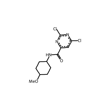 COC1CCC(NC(=O)c2cc(Cl)nc(Cl)n2)CC1